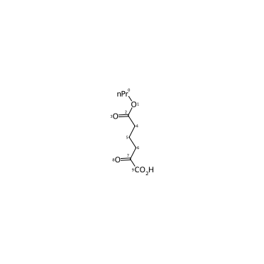 CCCOC(=O)CCCC(=O)C(=O)O